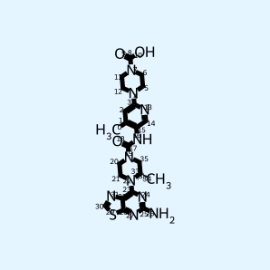 Cc1cc(N2CCN(C(=O)O)CC2)ncc1NC(=O)N1CCN(c2nc(N)nc3scnc23)[C@@H](C)C1